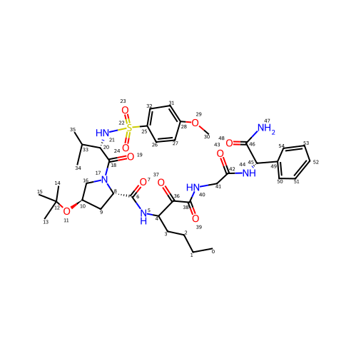 CCCCC(NC(=O)[C@@H]1C[C@@H](OC(C)(C)C)CN1C(=O)[C@@H](NS(=O)(=O)c1ccc(OC)cc1)C(C)C)C(=O)C(=O)NCC(=O)N[C@H](C(N)=O)c1ccccc1